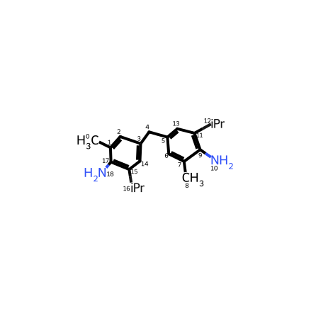 Cc1cc(Cc2cc(C)c(N)c(C(C)C)c2)cc(C(C)C)c1N